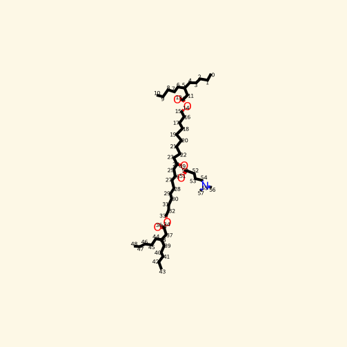 CCCCCC(CCCCC)CC(=O)OCCCCCCCCCC(CCCCCCCCCOC(=O)CC(CCCCC)CCCCC)OC(=O)CCCN(C)C